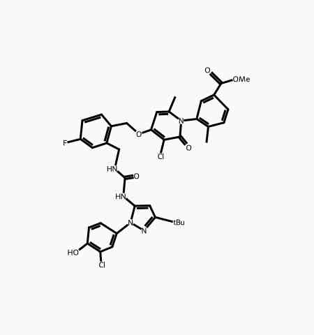 COC(=O)c1ccc(C)c(-n2c(C)cc(OCc3ccc(F)cc3CNC(=O)Nc3cc(C(C)(C)C)nn3-c3ccc(O)c(Cl)c3)c(Cl)c2=O)c1